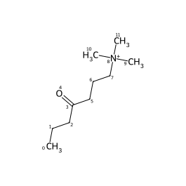 CCCC(=O)CCC[N+](C)(C)C